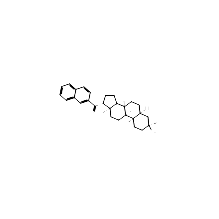 C[C@@]1(O)CC[C@H]2[C@H](CC[C@@H]3[C@@H]2CC[C@]2(C)[C@@H](C(=O)c4ccc5ccccc5c4)CC[C@@H]32)C1